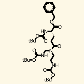 CC(C)(C)OC(=O)NCCN(CNC(=O)OC(C)(C)C)C(=O)CC[C@H](NC(=O)OC(C)(C)C)C(=O)OCc1ccccc1